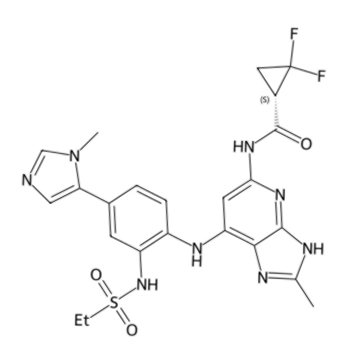 CCS(=O)(=O)Nc1cc(-c2cncn2C)ccc1Nc1cc(NC(=O)[C@@H]2CC2(F)F)nc2[nH]c(C)nc12